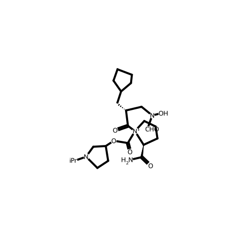 CC(C)N1CCC(OC(=O)[N+]2(C(=O)[C@H](CC3CCCC3)CN(O)C=O)CCC[C@H]2C(N)=O)C1